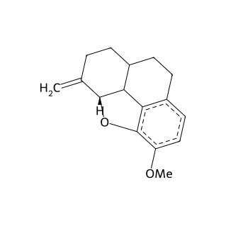 C=C1CCC2CCc3ccc(OC)c4c3C2[C@@H]1O4